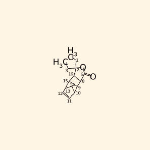 CCC1(CC)OC(=O)C2C3C4C=CC(C4)C3C21